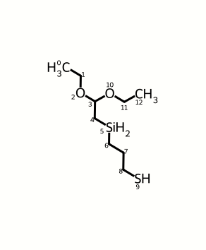 CCOC(C[SiH2]CCCS)OCC